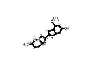 COc1cc(O)cc2oc(-c3cn4nc(C)ccc4n3)cc12